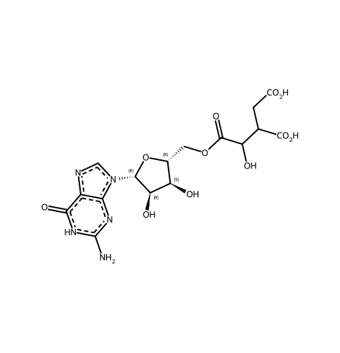 Nc1nc2c(ncn2[C@@H]2O[C@H](COC(=O)C(O)C(CC(=O)O)C(=O)O)[C@@H](O)[C@H]2O)c(=O)[nH]1